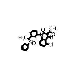 Cc1onc2c1c(=O)n(C1CCCC(C(C)[S+]([O-])c3ccccc3)C1)c1cccc(Cl)c21